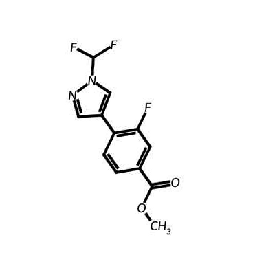 COC(=O)c1ccc(-c2cnn(C(F)F)c2)c(F)c1